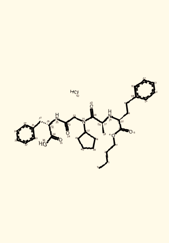 CCCCOC(=O)[C@H](CCc1ccccc1)N[C@@H](C)C(=O)N(CC(=O)N[C@@H](Cc1ccccc1)C(=O)O)C1CCCC1.Cl